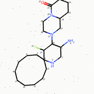 NC1CNC2(CCCCCCCCC2)C(F)C1N1CCN2C(=O)CCCC2C1